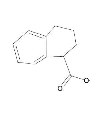 [O]C(=O)C1CCCc2ccccc21